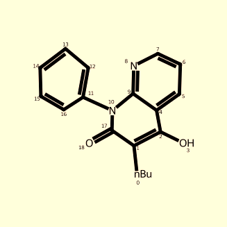 CCCCc1c(O)c2cccnc2n(-c2ccccc2)c1=O